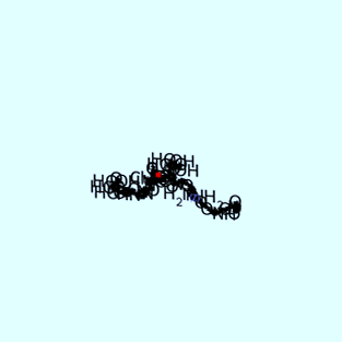 COc1ccc2c(OS(=O)(=O)Oc3cc(C(=O)N(C)CC(C)(C)COCC(C)(C)CN(N)/C=C(\N)COCCOCCC(C)(C)NCCOCCN4C(=O)C=CC4=O)ccc3O[C@@H]3O[C@H](C(=O)O)[C@@H](O)[C@H](O)[C@H]3O)cc3c(c2c1)[C@H](CCl)CN3C(=O)c1cn2cc(NC(=O)c3ccc(O[C@@H]4O[C@H](C(=O)O)[C@@H](O)[C@H](O)[C@H]4O)cc3)ccc2n1